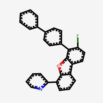 Fc1ccc2c(oc3c(-c4ccccn4)cccc32)c1-c1ccc(-c2ccccc2)cc1